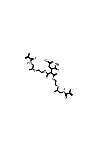 C=C(C)C(=O)NCC(C)OCCOC(=O)C(C(=O)OCCOC(C)CNC(=O)C(=C)C)C(CC(=O)O)C(=O)O